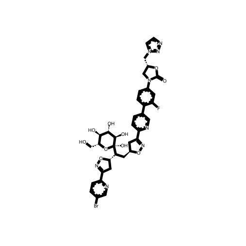 O=C1O[C@@H](Cn2ccnn2)CN1c1ccc(-c2ccc(C3=NO[C@@H](CC([C@@H]4CC(c5ccc(Br)cn5)=NO4)[C@@]4(O)O[C@H](CO)[C@@H](O)[C@H](O)[C@H]4O)C3)nc2)c(F)c1